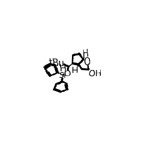 CC(C)(C)C(O[SiH](c1ccccc1)c1ccccc1)[C@H]1CC[C@@H]2OC(O)C[C@@H]21